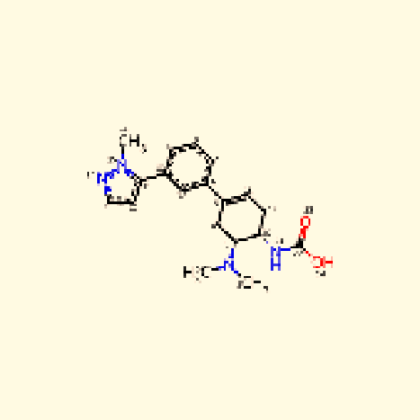 CN(C)[C@H]1CC(c2cccc(-c3ccnn3C)c2)=CC[C@@H]1NC(=O)O